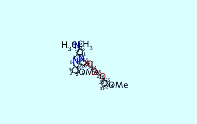 COc1cccc(CN(Cc2cccc(N(C)C)c2)c2ccc(OCCOCCOc3cccc(OC)c3)cn2)c1